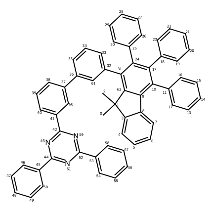 CC1(C)c2ccccc2-c2c(-c3ccccc3)c(-c3ccccc3)c(-c3ccccc3)c(-c3cccc(-c4cccc(-c5nc(-c6ccccc6)nc(-c6ccccc6)n5)c4)c3)c21